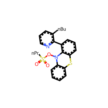 CCCCc1cccnc1-c1cccc2c1N(OS(=O)(=O)CCC)c1ccccc1S2